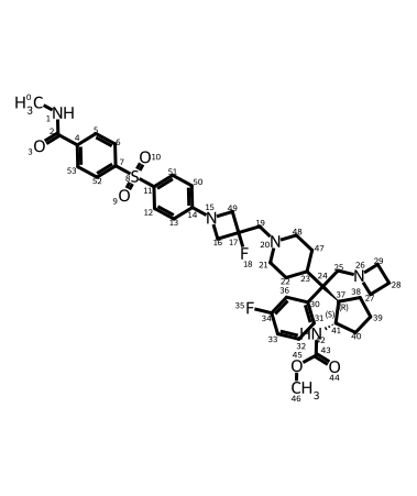 CNC(=O)c1ccc(S(=O)(=O)c2ccc(N3CC(F)(CN4CCC(C(CN5CCC5)(c5cccc(F)c5)[C@H]5CCC[C@@H]5NC(=O)OC)CC4)C3)cc2)cc1